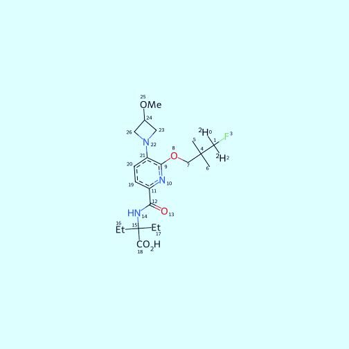 [2H]C([2H])(F)C(C)(C)COc1nc(C(=O)NC(CC)(CC)C(=O)O)ccc1N1CC(OC)C1